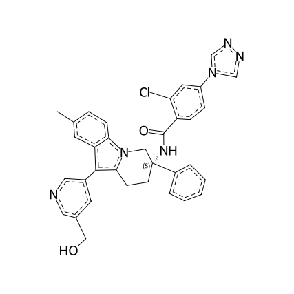 Cc1ccc2c(c1)c(-c1cncc(CO)c1)c1n2C[C@@](NC(=O)c2ccc(-n3cnnc3)cc2Cl)(c2ccccc2)CC1